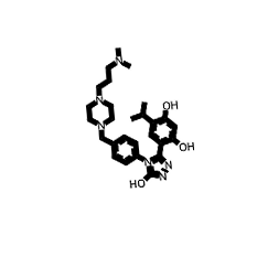 CC(C)c1cc(-c2nnc(O)n2-c2ccc(CN3CCN(CCCN(C)C)CC3)cc2)c(O)cc1O